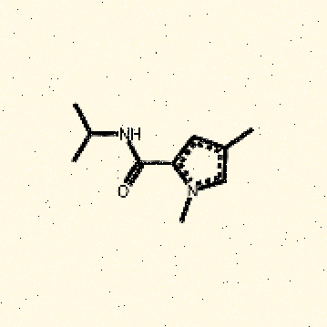 Cc1cc(C(=O)NC(C)C)n(C)c1